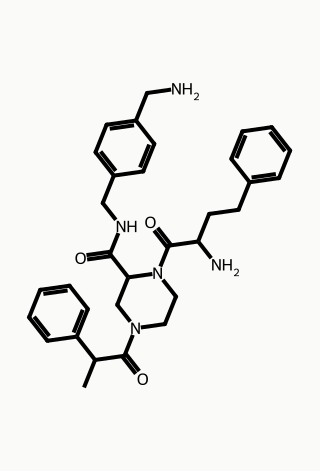 CC(C(=O)N1CCN(C(=O)C(N)CCc2ccccc2)C(C(=O)NCc2ccc(CN)cc2)C1)c1ccccc1